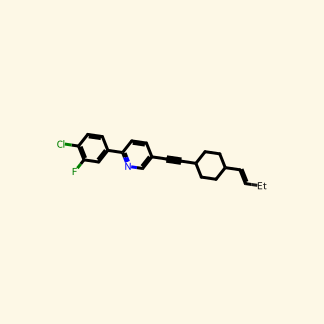 CCC=CC1CCC(C#Cc2ccc(-c3ccc(Cl)c(F)c3)nc2)CC1